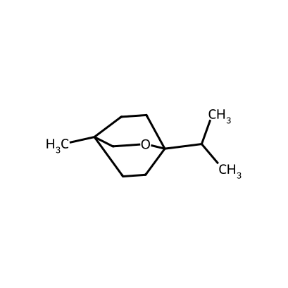 CC(C)C12CCC(C)(CC1)CO2